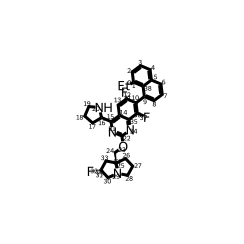 CCc1cccc2cccc(-c3c(F)cc4c(C5CCCN5)nc(OC[C@@]56CCCN5C[C@H](F)C6)nc4c3F)c12